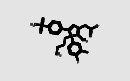 CCCC[N+]1(c2ccc(F)c(F)c2)C(c2ccc(S(C)(=O)=O)cc2)=CC(CC(=O)[O-])=C1C